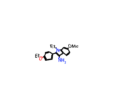 CCOc1ccc(-c2c(N)c3ccc(OC)cc3n2CC)cc1